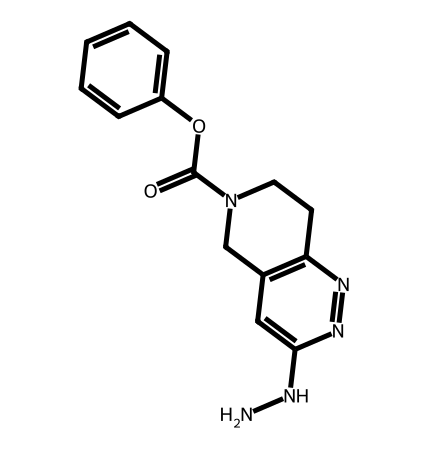 NNc1cc2c(nn1)CCN(C(=O)Oc1ccccc1)C2